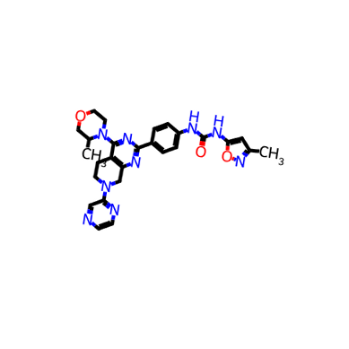 Cc1cc(NC(=O)Nc2ccc(-c3nc4c(c(N5CCOCC5C)n3)CCN(c3cnccn3)C4)cc2)on1